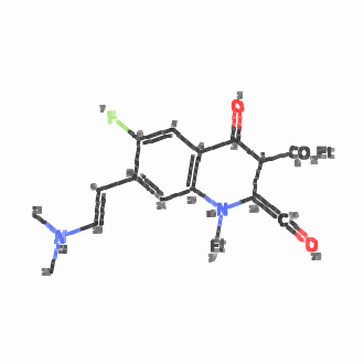 CCOC(=O)C1C(=O)c2cc(F)c(C=CN(C)C)cc2N(CC)C1=C=O